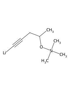 [Li][C]#CCC(C)O[Si](C)(C)C